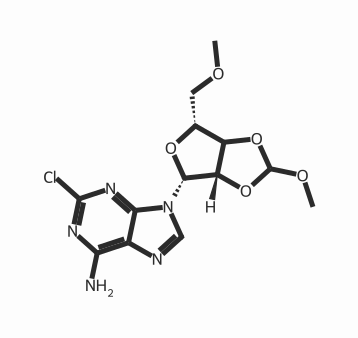 COC[C@H]1O[C@@H](n2cnc3c(N)nc(Cl)nc32)[C@H]2OC(OC)OC12